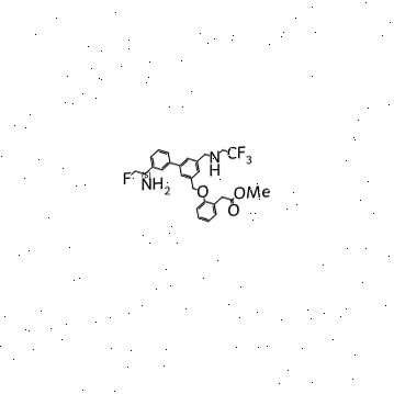 COC(=O)Cc1ccccc1OCc1cc(CNCC(F)(F)F)cc(-c2cccc([C@H](N)CF)c2)c1